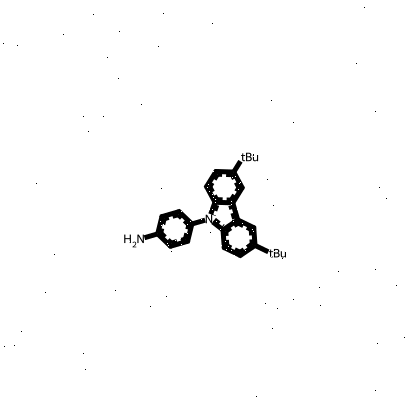 CC(C)(C)c1ccc2c(c1)c1cc(C(C)(C)C)ccc1n2-c1ccc(N)cc1